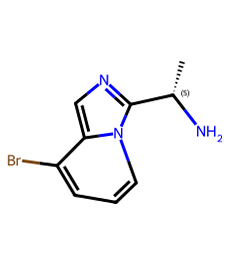 C[C@H](N)c1ncc2c(Br)cccn12